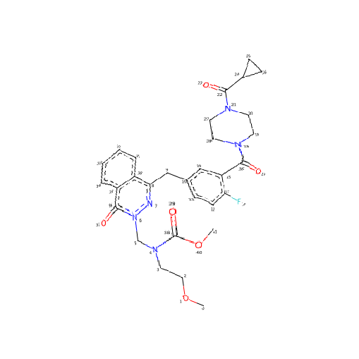 COCCN(Cn1nc(Cc2ccc(F)c(C(=O)N3CCN(C(=O)C4CC4)CC3)c2)c2ccccc2c1=O)C(=O)OC